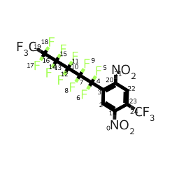 O=[N+]([O-])c1cc(C(F)(F)C(F)(F)C(F)(F)C(F)(F)C(F)(F)C(F)(F)F)c([N+](=O)[O-])cc1C(F)(F)F